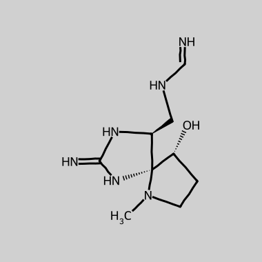 CN1CC[C@@H](O)[C@@]12NC(=N)N[C@H]2CNC=N